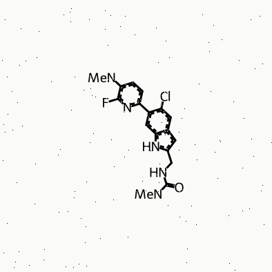 CNC(=O)NCc1cc2cc(Cl)c(-c3ccc(NC)c(F)n3)cc2[nH]1